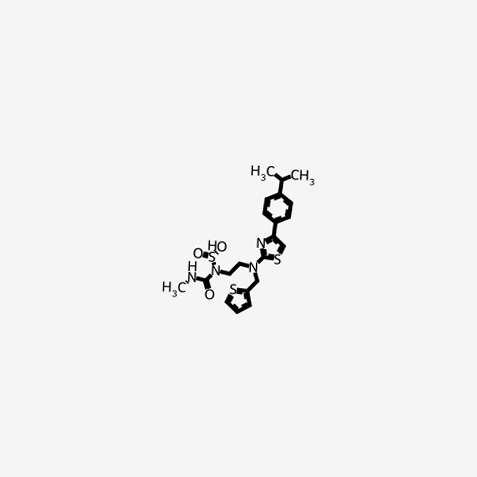 CNC(=O)N(CCN(Cc1cccs1)c1nc(-c2ccc(C(C)C)cc2)cs1)[SH](=O)=O